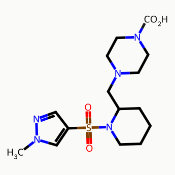 Cn1cc(S(=O)(=O)N2CCCCC2CN2CCN(C(=O)O)CC2)cn1